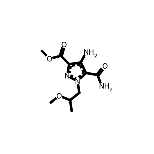 COC(=O)c1nn(CC(C)OC)c(C(N)=O)c1N